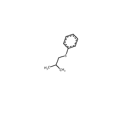 CC(C)CSc1c[c]ccc1